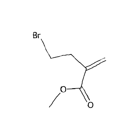 C=C(CCBr)C(=O)OC